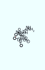 N=C(N)NCCC[C@H](NC(=O)[C@@H]1C[C@@H](OC(=O)N2CCCCC2)CN1C(=O)[C@@H](CCc1ccccc1)NC(=O)OCc1ccccc1)C(=O)c1nc2ccccc2s1